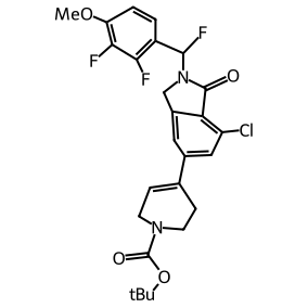 COc1ccc(C(F)N2Cc3cc(C4=CCN(C(=O)OC(C)(C)C)CC4)cc(Cl)c3C2=O)c(F)c1F